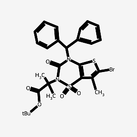 Cc1c(Br)sc2c1S(=O)(=O)N(C(C)(C)C(=O)OC(C)(C)C)C(=O)N2C(c1ccccc1)c1ccccc1